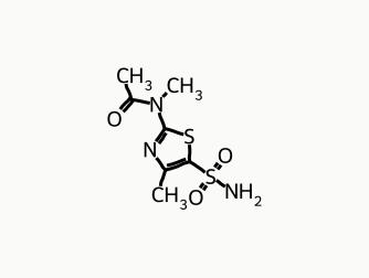 CC(=O)N(C)c1nc(C)c(S(N)(=O)=O)s1